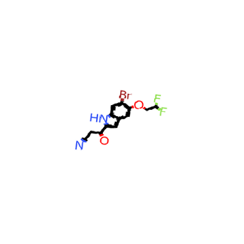 N#CCC(=O)c1cc2cc(OCC(F)F)c(Br)cc2[nH]1